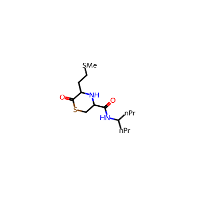 CCCC(CCC)NC(=O)C1CSC(=O)C(CCSC)N1